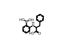 O=C(O)C(Cc1ccccc1)Nc1ccccc1B(O)O